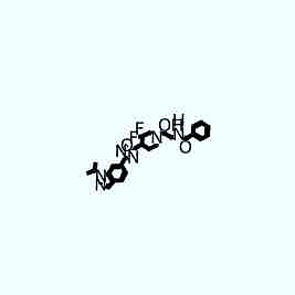 CC(C)n1ncc2ccc(-c3noc(C4CCN(C(O)CNC(=O)c5ccccc5)CC4(F)F)n3)cc21